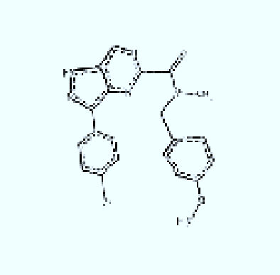 COc1ccc(CN(C)C(=O)c2ncc3[nH]nc(-c4ccc(Cl)cc4)c3n2)cc1